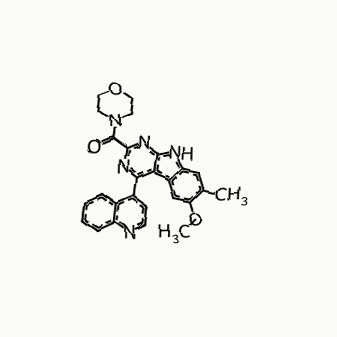 COc1cc2c(cc1C)[nH]c1nc(C(=O)N3CCOCC3)nc(-c3ccnc4ccccc34)c12